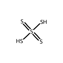 S=S(=S)(S)S